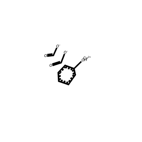 O=C[O-].O=C[O-].Oc1ccccc1.[Cu+2]